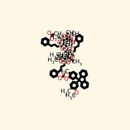 [3H]Oc1ccccc1CCC[Si](C)(O[Si](C)(C)O[Si](C)(CCCc1ccccc1OC(=O)Oc1cc(C2(c3ccc(C)c(OC)c3)c3ccccc3-c3ccccc32)ccc1C)O[Si](C)(C)C)O[Si](C)(C)O[Si](C)(CCCc1ccccc1OC(C)=O)O[Si](C)(C)O[Si](C)(C)OC